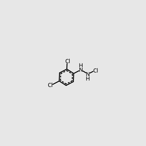 ClNNc1ccc(Cl)cc1Cl